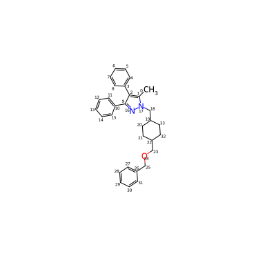 Cc1c(-c2ccccc2)c(-c2ccccc2)nn1CC1CCC(COCc2ccccc2)CC1